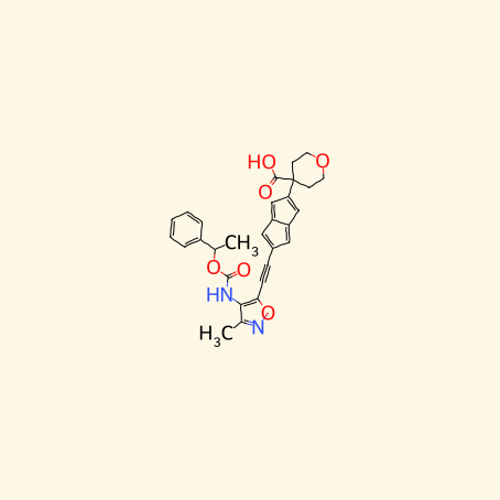 Cc1noc(C#CC2=CC3=CC(C4(C(=O)O)CCOCC4)=CC3=C2)c1NC(=O)OC(C)c1ccccc1